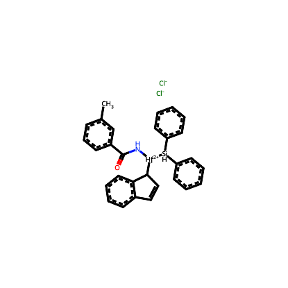 Cc1cccc(C(=O)[NH][Hf+2]([CH]2C=Cc3ccccc32)[SiH](c2ccccc2)c2ccccc2)c1.[Cl-].[Cl-]